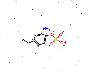 CCc1ccc(OS(=O)(=O)O)cc1.N